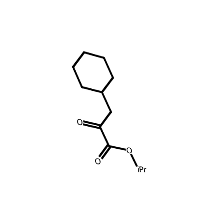 CC(C)OC(=O)C(=O)CC1CCCCC1